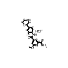 COc1cc(C(=O)Nc2ccc(C3CNCCO3)cc2F)cc(C(N)=O)n1.Cl